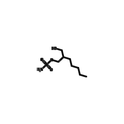 CCCCCC(CO)COS(N)(=O)=O